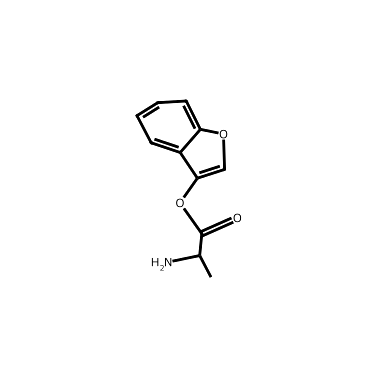 CC(N)C(=O)Oc1coc2ccccc12